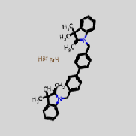 Br.Br.C=C1N(Cc2ccc(-c3ccc(CN4C(=C)C(C)(C)c5ccccc54)cc3)cc2)c2ccccc2C1(C)C